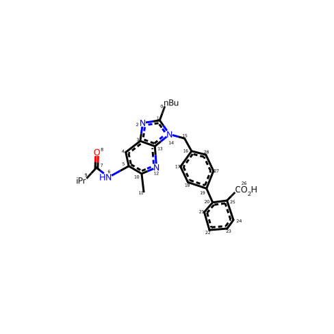 CCCCc1nc2cc(NC(=O)C(C)C)c(C)nc2n1Cc1ccc(-c2ccccc2C(=O)O)cc1